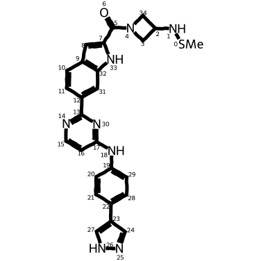 CSNC1CN(C(=O)c2cc3ccc(-c4nccc(Nc5ccc(-c6cn[nH]c6)cc5)n4)cc3[nH]2)C1